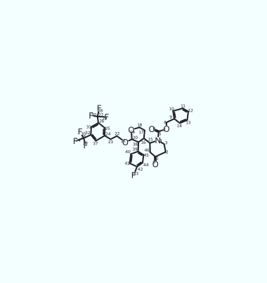 O=C1CCN(C(=O)OCc2ccccc2)C(C2CCOC(OCCc3cc(C(F)(F)F)cc(C(F)(F)F)c3)C2c2ccc(F)cc2)C1